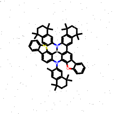 Cc1cc2c(cc1N1c3ccc4c(sc5ccccc54)c3B3c4c(cc5c(oc6ccccc65)c41)-c1cc4c(cc1N3c1ccc3c(c1)C(C)(C)CCC3(C)C)C(C)(C)CCC4(C)C)C(C)(C)CCC2(C)C